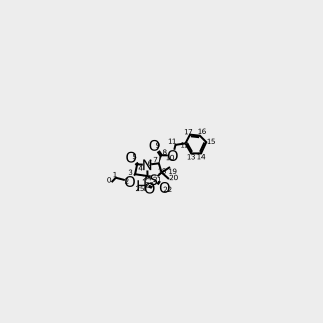 CCO[C@H]1C(=O)N2[C@@H](C(=O)OCc3ccccc3)C(C)(C)S(=O)(=O)[C@H]12